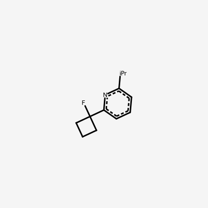 CC(C)c1cccc(C2(F)CCC2)n1